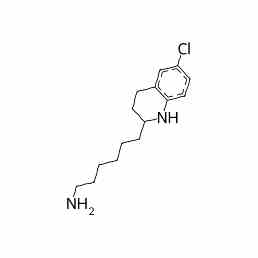 NCCCCCCC1CCc2cc(Cl)ccc2N1